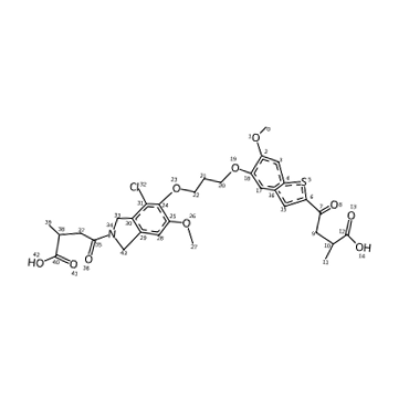 COc1cc2sc(C(=O)CC(C)C(=O)O)cc2cc1OCCCOc1c(OC)cc2c(c1Cl)CN(C(=O)CC(C)C(=O)O)C2